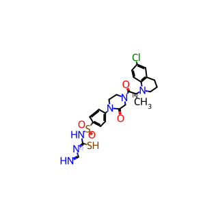 C[C@H](C(=O)N1CCN(c2ccc(S(=O)(=O)N/C(S)=N/C=N)cc2)C(=O)C1)N1CCCc2cc(Cl)ccc21